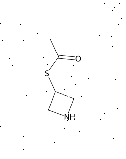 CC(=O)SC1CNC1